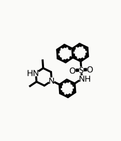 CC1CN(c2cccc(NS(=O)(=O)c3cccc4ccccc34)c2)CC(C)N1